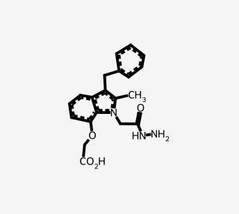 Cc1c(Cc2ccccc2)c2cccc(OCC(=O)O)c2n1CC(=O)NN